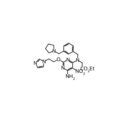 CCOC(=O)CN(Cc1cccc(CN2CCCC2)c1)c1nc(OCCn2ccnc2)nc(N)c1[N+](=O)[O-]